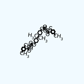 Cc1ccc(C)c(C(=O)OOC(=O)OC2CCC(C(C)(C)C3CCC(OC(=O)OOC(=O)c4cc(C)ccc4C)CC3)CC2)c1